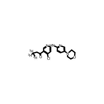 [2H]C([2H])([2H])CC(=O)c1cnc(Nc2ccc(N3CCOCC3)cn2)cc1Cl